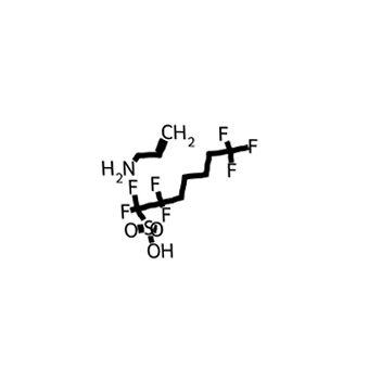 C=CCN.O=S(=O)(O)C(F)(F)C(F)(F)CCCCC(F)(F)F